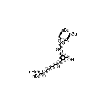 CCCCC#CCCOC(CCC(=O)OCc1cc(CO)cc(COC(=O)CCCCCCOC(=O)C(CCCC)CCCCCC)c1)OCCC#CCCCC